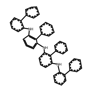 C1=C=C(Nc2cccc(Nc3ccccc3-c3ccccc3)c2-c2ccccc2)C(c2ccccc2)=C(Nc2ccccc2-c2ccccc2)C=1